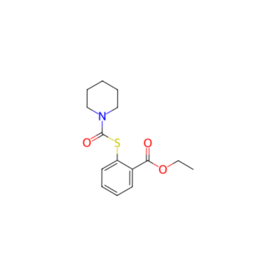 CCOC(=O)c1ccccc1SC(=O)N1CCCCC1